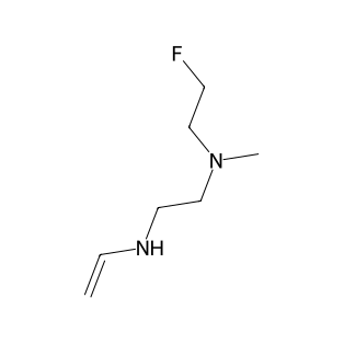 C=CNCCN(C)CCF